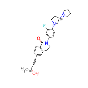 C[C@@H](O)C#Cc1ccc2c(c1)CCN(c1ccc(N3CC[C@@H](N4CCCC4)C3)c(F)c1)C2=O